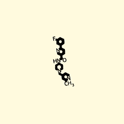 Cc1cc(CN2CCC(NC(=O)c3ccc(-c4cccc(F)c4)nc3)CC2)ccn1